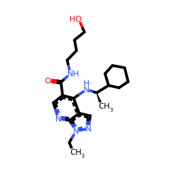 CCn1ncc2c(N[C@H](C)C3CCCCC3)c(C(=O)NCCCCO)cnc21